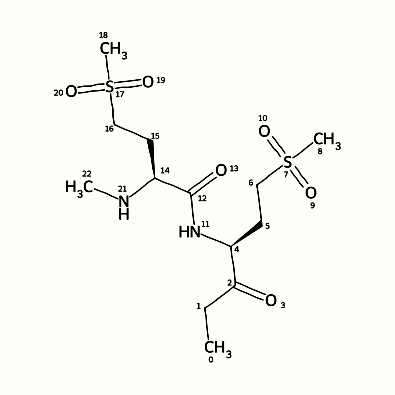 CCC(=O)[C@H](CCS(C)(=O)=O)NC(=O)[C@H](CCS(C)(=O)=O)NC